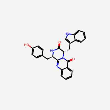 O=C1N[C@H](Cc2ccc(O)cc2)c2nc3ccccc3c(=O)n2[C@H]1Cc1c[nH]c2ccccc12